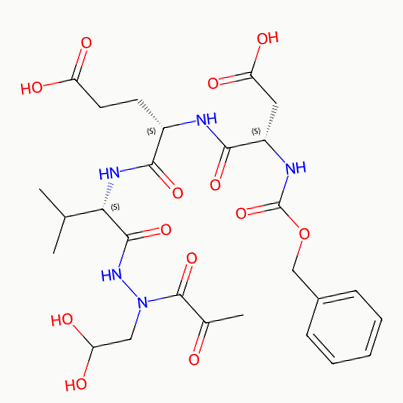 CC(=O)C(=O)N(CC(O)O)NC(=O)[C@@H](NC(=O)[C@H](CCC(=O)O)NC(=O)[C@H](CC(=O)O)NC(=O)OCc1ccccc1)C(C)C